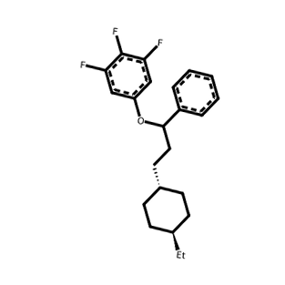 CC[C@H]1CC[C@H](CCC(Oc2cc(F)c(F)c(F)c2)c2ccccc2)CC1